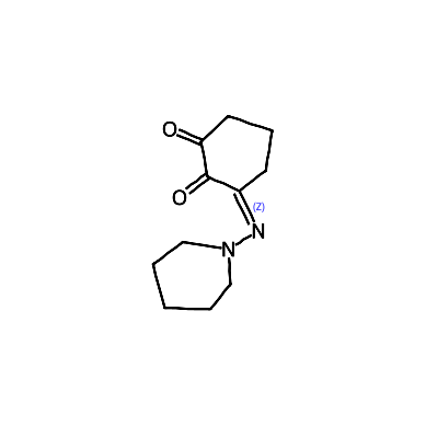 O=C1CCC/C(=N/N2CCCCC2)C1=O